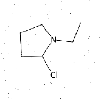 CCN1CCCC1Cl